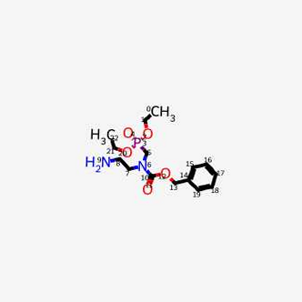 CCOP(=O)(CN(CCN)C(=O)OCc1ccccc1)OCC